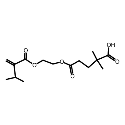 C=C(C(=O)OCCOC(=O)CCC(C)(C)C(=O)O)C(C)C